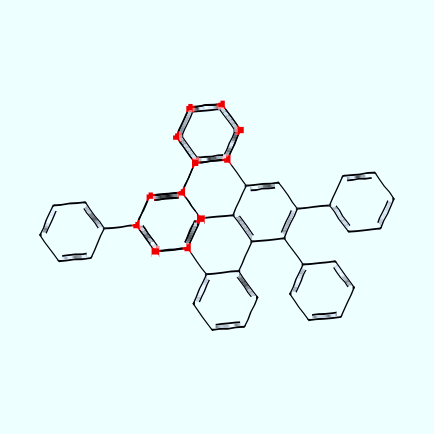 c1ccc(-c2cc(-c3ccccc3)nc(-c3ccccc3-c3c(-c4ccccc4)c(-c4ccccc4)cc4c5ccccc5c5ccccc5c34)n2)cc1